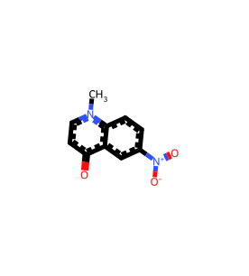 Cn1ccc(=O)c2cc([N+](=O)[O-])ccc21